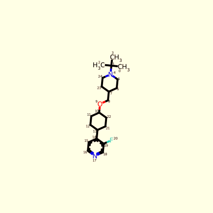 CC(C)(C)N1CCC(COC2CCC(c3ccncc3F)CC2)CC1